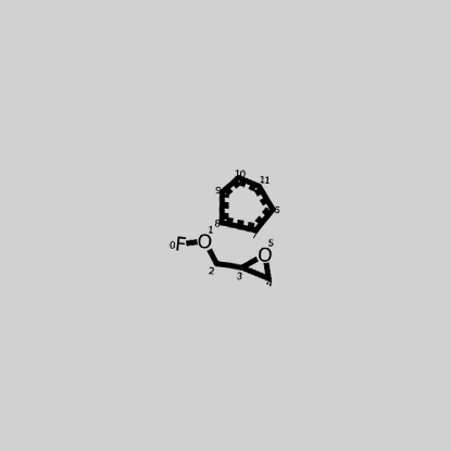 FOCC1CO1.c1ccccc1